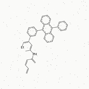 C=C/C=C\C(=C)P/C(C)=C/C(=C\CC)c1cccc(-c2c3ccccc3c(-c3ccccc3)c3ccccc23)c1